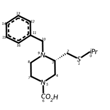 CC(C)SC[C@@H]1CN(C(=O)O)CCN1Cc1ccccc1